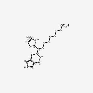 O=S(=O)(O)CCCCCCCC(C1COc2cscc2O1)C1CC=CS1.[NaH]